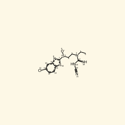 CCN(CC[S+]([O-])c1nc2cc(Cl)ccc2s1)C(=N)NC#N